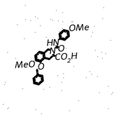 COc1ccc(NC(=O)N2Cc3ccc(OC)c(OCc4ccccc4)c3CC2C(=O)O)cc1